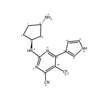 N#Cc1nc(N[C@H]2CC[C@H](N)C2)nc(-c2cc[nH]c2)c1C(F)(F)F